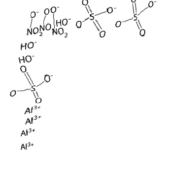 O=S(=O)([O-])[O-].O=S(=O)([O-])[O-].O=S(=O)([O-])[O-].O=[N+]([O-])[O-].O=[N+]([O-])[O-].O=[N+]([O-])[O-].[Al+3].[Al+3].[Al+3].[Al+3].[OH-].[OH-].[OH-]